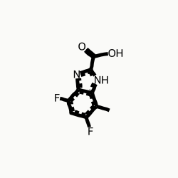 Cc1c(F)cc(F)c2nc(C(=O)O)[nH]c12